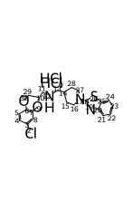 Cl.Cl.Clc1ccc2c(c1)OC(CNCC1CCN(c3nc4ccccc4s3)CC1)CO2